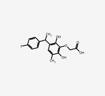 Cc1cc(C(C)c2ccc(F)cc2)c(O)c(OCC(=O)O)c1O